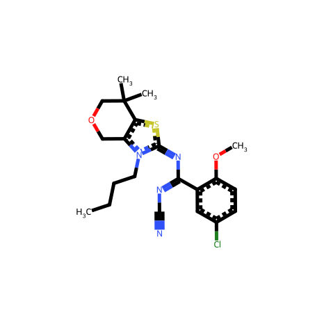 CCCCn1c2c(sc1=NC(=NC#N)c1cc(Cl)ccc1OC)C(C)(C)COC2